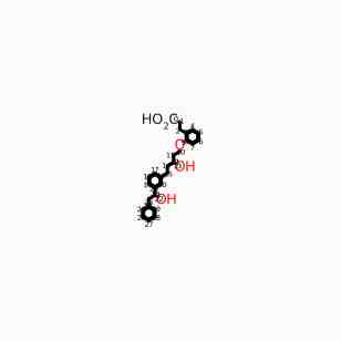 O=C(O)CCc1ccccc1OCC[C@@H](O)CCc1cccc([C@@H](O)Cc2ccccc2)c1